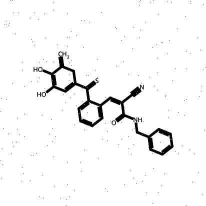 C=C1CC(C(=S)c2ccccc2C=C(C#N)C(=O)NCc2ccccc2)=CC(O)=C1O